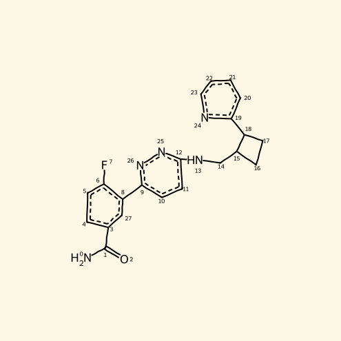 NC(=O)c1ccc(F)c(-c2ccc(NCC3CCC3c3ccccn3)nn2)c1